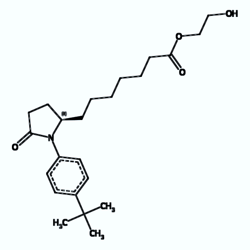 CC(C)(C)c1ccc(N2C(=O)CC[C@H]2CCCCCCC(=O)OCCO)cc1